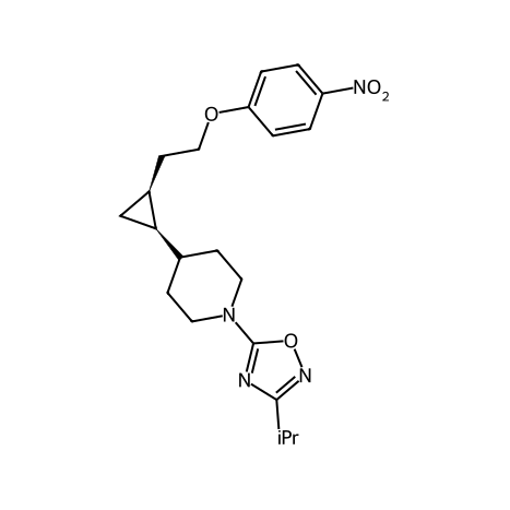 CC(C)c1noc(N2CCC([C@H]3C[C@H]3CCOc3ccc([N+](=O)[O-])cc3)CC2)n1